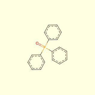 O=P(c1cc[c]cc1)(c1ccccc1)c1ccccc1